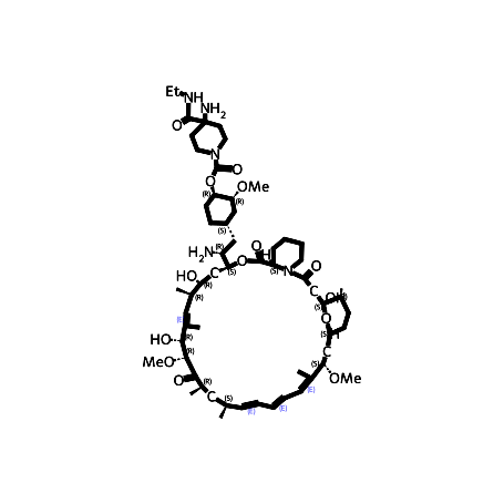 CCNC(=O)C1(N)CCN(C(=O)O[C@@H]2CC[C@@H](C[C@@H](N)[C@@H]3C[C@@H](O)[C@H](C)/C=C(\C)[C@@H](O)[C@@H](OC)C(=O)[C@H](C)C[C@H](C)/C=C/C=C/C=C(\C)[C@@H](OC)C[C@@H]4CC[C@@H](C)[C@](O)(CC(=O)N5CCCC[C@H]5C(=O)O3)O4)C[C@H]2OC)CC1